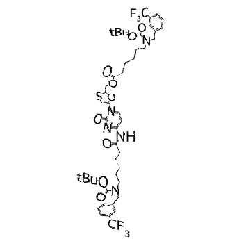 CC(C)(C)OC(=O)N(CCCCCC(=O)Nc1ccn(C2CSC(COC(=O)CCCCCN(Cc3cccc(C(F)(F)F)c3)C(=O)OC(C)(C)C)O2)c(=O)n1)Cc1cccc(C(F)(F)F)c1